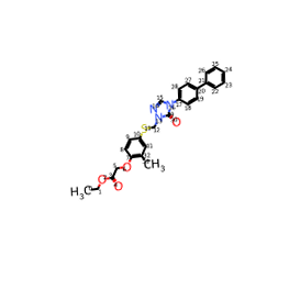 CCOC(=O)COc1ccc(SCn2ncn(-c3ccc(-c4ccccc4)cc3)c2=O)cc1C